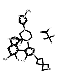 Cc1cc2[nH]ncc2c(-c2c(N3CCN(c4cnn(C)c4)CC3(C)C)nn(C3CC4(CNC4)C3)c2C)c1Cl.O=C(O)C(F)(F)F